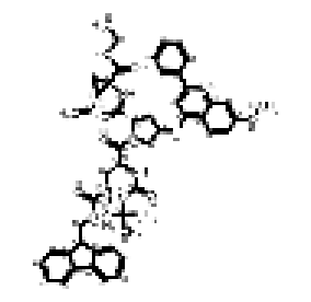 C=C[C@@H]1C[C@]1(NC(=O)[C@@H]1CC(Oc2cc(-c3ccccc3)nc3cc(OC)ccc23)CN1C(=O)[C@H](CNC(=O)OCC1c2ccccc2-c2ccccc21)NC(=O)OC(C)(C)C)C(=O)OCC